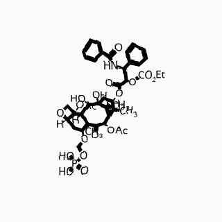 CCOC(=O)O[C@@H](C(=O)O[C@H]1C[C@@]2(O)[C@@H](O)[C@@H]3[C@]4(OC(C)=O)CO[C@@H]4C[C@H](OCOP(=O)(O)O)[C@@]3(C)C(=O)[C@H](OC(C)=O)C(=C1C)C2(C)C)[C@@H](NC(=O)c1ccccc1)c1ccccc1